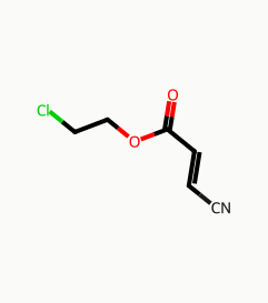 N#CC=CC(=O)OCCCl